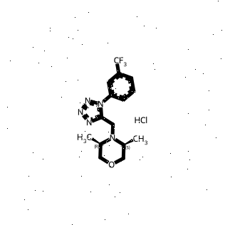 C[C@@H]1COC[C@H](C)N1Cc1nnnn1-c1cccc(C(F)(F)F)c1.Cl